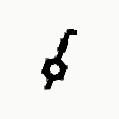 Cc1ccc(C#CC(C)(C)C)cc1